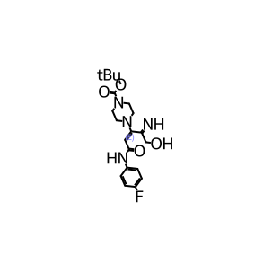 CC(C)(C)OC(=O)N1CCN(/C(=C/C(=O)Nc2ccc(F)cc2)C(=N)CO)CC1